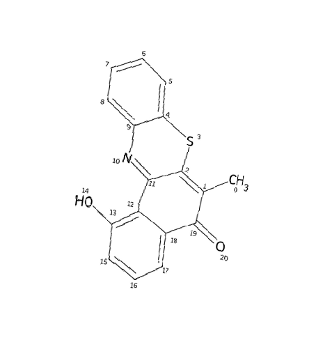 Cc1c2sc3ccccc3nc-2c2c(O)cccc2c1=O